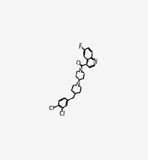 O=C(c1ccnc2ccc(F)cc12)N1CCC(N2CCC(Cc3ccc(Cl)c(Cl)c3)CC2)CC1